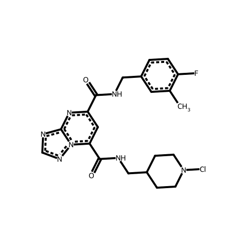 Cc1cc(CNC(=O)c2cc(C(=O)NCC3CCN(Cl)CC3)n3ncnc3n2)ccc1F